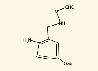 COc1ccc(N)c(CNOC=O)c1